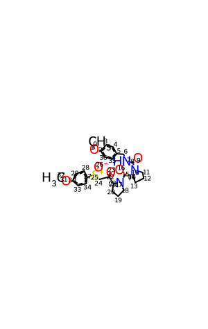 COc1ccc(CNC(=O)N2CCC[C@@H]2C(=O)N2CCC[C@H]2C(=O)C[S+]([O-])c2ccc(OC)cc2)cc1